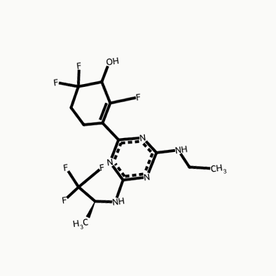 CCNc1nc(N[C@@H](C)C(F)(F)F)nc(C2=C(F)C(O)C(F)(F)CC2)n1